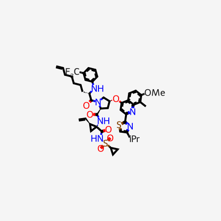 C=CCCCCC[C@H](Nc1cccc(C(F)(F)F)c1)C(=O)N1C[C@H](Oc2cc(-c3nc(C(C)C)cs3)nc3c(C)c(OC)ccc23)C[C@H]1C(=O)N[C@]1(C(=O)NS(=O)(=O)C2CC2)C[C@H]1C=C